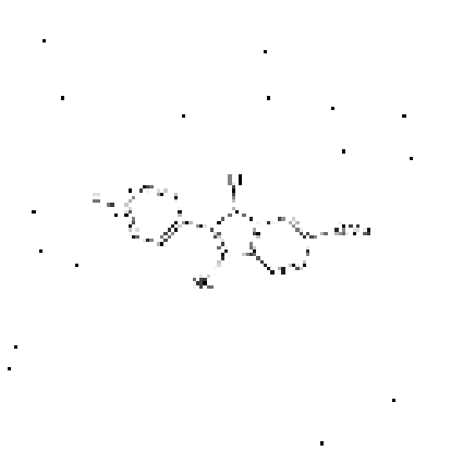 CCn1c(-c2ccc(F)cc2)c(C#N)c2ccc(OC)cc21